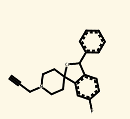 C#CCN1CCC2(CC1)OC(c1ccccc1)c1ccc(F)cc12